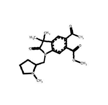 COC(=O)c1cc2c(cc1C(C)=O)C(C)(C)C(=O)N2CC1CCCN1C